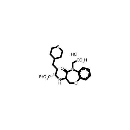 CCOC(=O)[C@H](CCC1CCSCC1)NC1COc2ccccc2N(CC(=O)O)C1=O.Cl